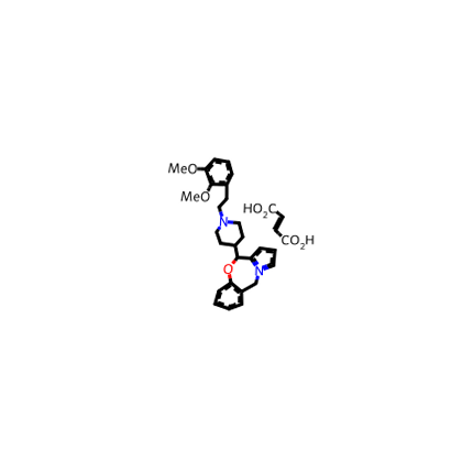 COc1cccc(CCN2CCC(C3Oc4ccccc4Cn4cccc43)CC2)c1OC.O=C(O)/C=C/C(=O)O